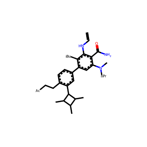 C=CNc1c(C(N)=O)c(N(C)CCC)cc(-c2ccc(CCC(C)=O)c(C3C(C)C(C)C3C)c2)c1C(C)CC